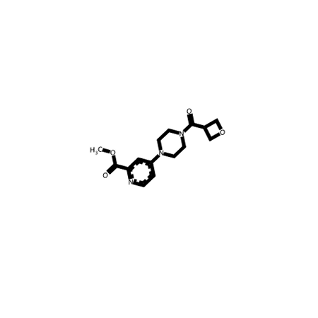 COC(=O)c1cc(N2CCN(C(=O)C3COC3)CC2)ccn1